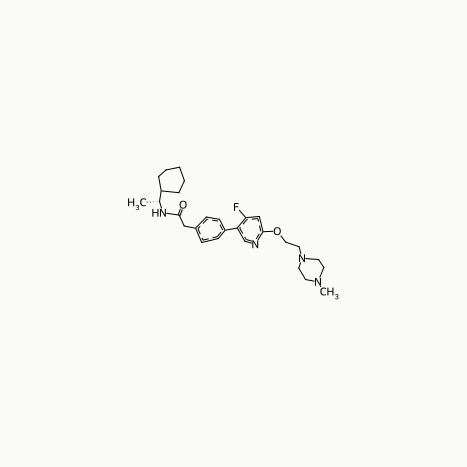 C[C@@H](NC(=O)Cc1ccc(-c2cnc(OCCN3CCN(C)CC3)cc2F)cc1)C1CCCCC1